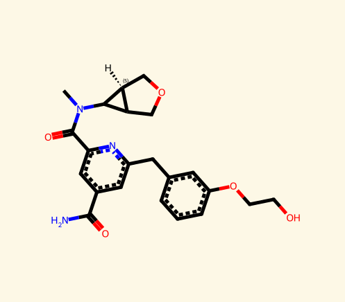 CN(C(=O)c1cc(C(N)=O)cc(Cc2cccc(OCCO)c2)n1)C1C2COC[C@@H]21